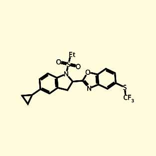 CCS(=O)(=O)N1c2ccc(C3CC3)cc2CC1c1nc2cc(SC(F)(F)F)ccc2o1